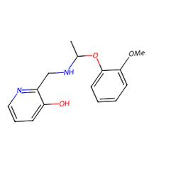 COc1ccccc1OC(C)NCc1ncccc1O